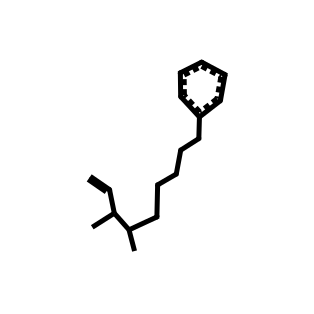 C=CC(C)C(C)CCCCCc1ccccc1